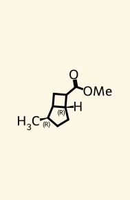 COC(=O)C1CC2[C@H]1CC[C@H]2C